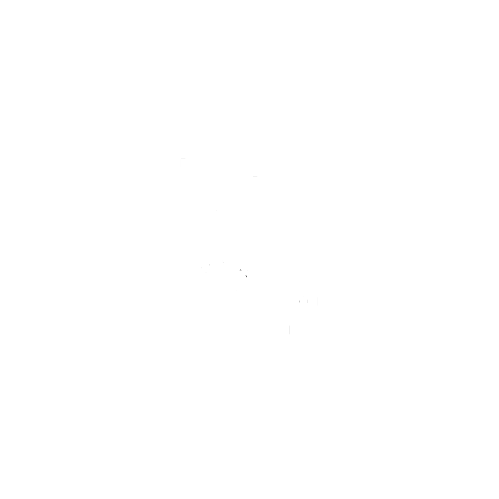 CC(O)C1CCN(C(=O)C=Cc2cc(F)cc(F)c2)CC1